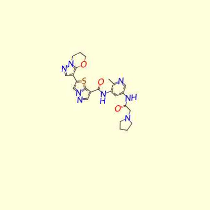 Cc1ncc(NC(=O)CN2CCCC2)cc1NC(=O)c1cnn2cc(-c3cnn4c3OCCC4)sc12